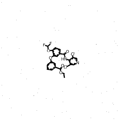 CCOC(=O)c1cccc(Oc2cc(C(=O)Nc3c(Cl)cncc3Cl)ccc2OC(F)F)c1